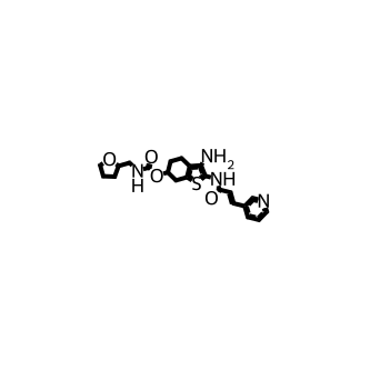 Nc1c(NC(=O)/C=C/c2cccnc2)sc2c1CCC(OC(=O)NCC1CCCO1)C2